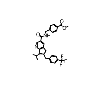 COC(=O)c1ccc(CNC(=O)c2cnc3c(c2)CC(Cc2ccc(C(F)(F)F)cc2)[C@H]3C(C)C)cc1